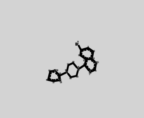 Brc1ccc2ncnc(N3CCN(c4ncccn4)CC3)c2c1